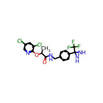 CC(Oc1ncc(Cl)cc1Cl)C(=O)NCc1ccc(C2(C(F)(F)F)NN2)cc1